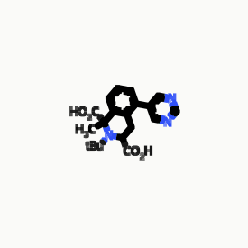 CC(C)(C)N1C(C(=O)O)Cc2c(-c3cncnc3)cccc2C1(C)C(=O)O